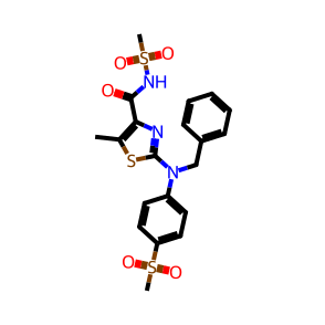 Cc1sc(N(Cc2ccccc2)c2ccc(S(C)(=O)=O)cc2)nc1C(=O)NS(C)(=O)=O